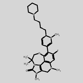 CN1Cc2c3n(c(=O)n2C)C(C)(C)COc2c(C4=CN(C)C(CCCCN5CCCCC5)C=C4)c(F)cc1c2-3